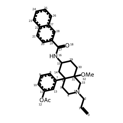 C=CCN1CCC2(c3cccc(OC(C)=O)c3)CC(NC(=O)c3ccc4ccccc4c3)CCC2(OC)C1